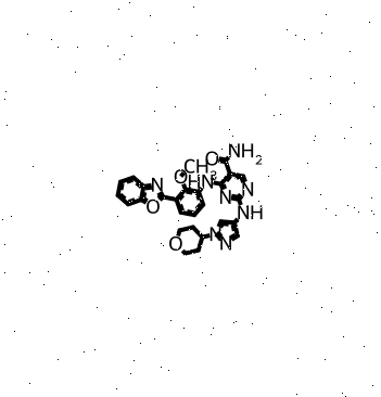 COc1c(Nc2nc(Nc3cnn(C4CCOCC4)c3)ncc2C(N)=O)cccc1-c1nc2ccccc2o1